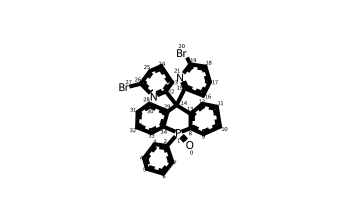 O=P1(c2ccccc2)c2ccccc2C(c2cccc(Br)n2)(c2cccc(Br)n2)c2ccccc21